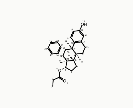 CCC(=O)O[C@H]1CC[C@H]2[C@@H]3CCc4cc(O)ccc4[C@H]3CC[C@]12C.c1ccccc1